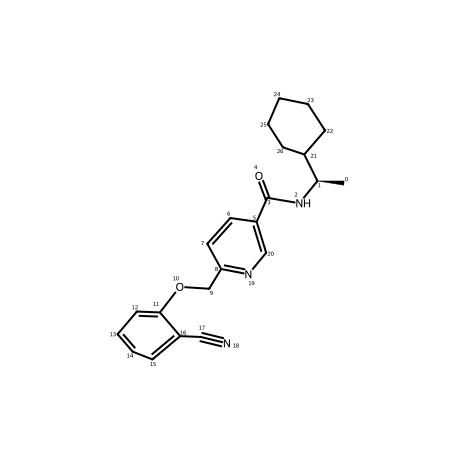 C[C@@H](NC(=O)c1ccc(COc2ccccc2C#N)nc1)C1CCCCC1